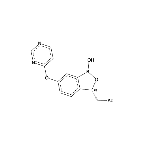 CC(=O)C[C@H]1OB(O)c2cc(Oc3ccncn3)ccc21